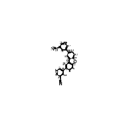 N#Cc1cncc(-c2ccc3oc4ccc(-c5cncc(C#N)c5)cc4c3c2)c1